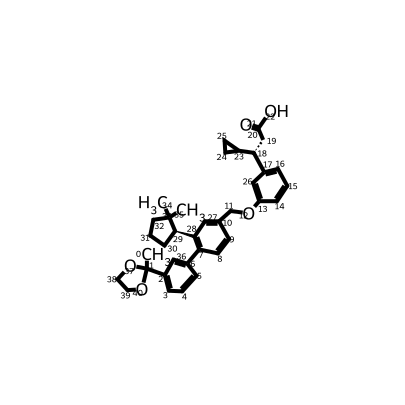 CC1(c2cccc(-c3ccc(COc4cccc([C@@H](CC(=O)O)C5CC5)c4)cc3[C@H]3CCCC3(C)C)c2)OCCO1